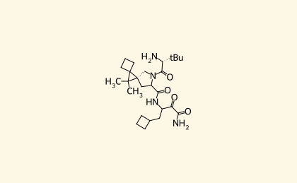 CC(C)(C)[C@@H](N)C(=O)N1C[C@]2(CC1C(=O)NC(CC1CCC1)C(=O)C(N)=O)C(C)(C)C21CCC1